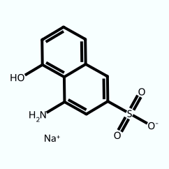 Nc1cc(S(=O)(=O)[O-])cc2cccc(O)c12.[Na+]